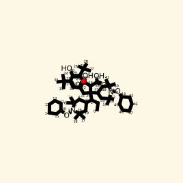 CCC(C1CC(C)(C)N(OC2CCCCC2)C(C)(C)C1)C(Cc1cc(C(C)(C)C)c(O)c(C(C)(C)C)c1)(C1CC(C)(C)N(OC2CCCCC2)C(C)(C)C1)C(C(=O)O)C(=O)O